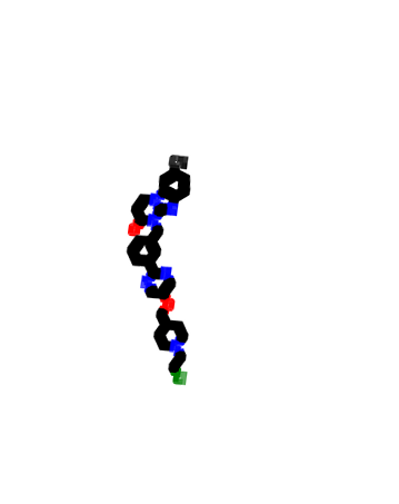 N#Cc1ccc2nc3n(Cc4cccc(-c5ncc(OCC6CCN(CCCl)CC6)cn5)c4)c(=O)ccn3c2c1